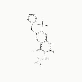 CS(=O)(=O)Nn1c(=O)[nH]c2cc(C(F)(F)F)c(Cn3cccc3)cc2c1=O